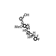 COc1cc2c(Nc3cc(CC(=O)Nc4cccc(F)c4F)[nH]n3)ncnc2cc1OC[C@H]1CCCN1CCO